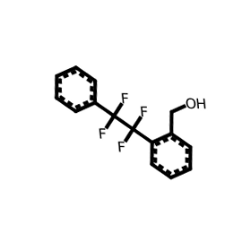 OCc1ccccc1C(F)(F)C(F)(F)c1ccccc1